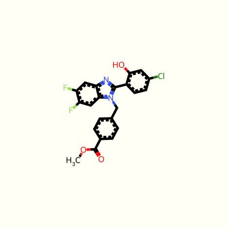 COC(=O)c1ccc(Cn2c(-c3ccc(Cl)cc3O)nc3cc(F)c(F)cc32)cc1